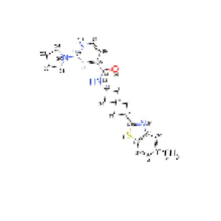 Cc1ccc2sc(C3CC4(CC(NC(=O)c5ccnc(N6CCCC6)c5)C4)C3)nc2c1